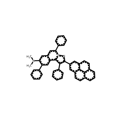 CN(C)c1cc2cc(-c3ccccc3)n3nc(-c4cc5ccc6cccc7ccc(c4)c5c67)c(-c4ccccc4)c3c2cc1-c1ccccc1